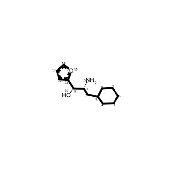 N[C@H](CC1CCCCC1)[C@H](O)c1ccco1